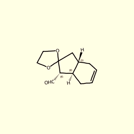 O=C[C@H]1[C@@H]2CC=CC[C@H]2CC12OCCO2